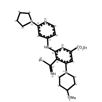 CCOC(=O)c1cc(N2CCC(OC)CC2)c(C(=N)C(C)C)c(Nc2ccnc(N3CCCC3)c2)n1